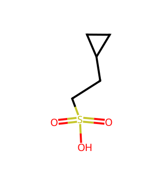 O=S(=O)(O)CCC1CC1